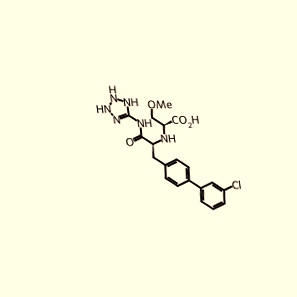 COC[C@H](N[C@@H](Cc1ccc(-c2cccc(Cl)c2)cc1)C(=O)NC1=NNNN1)C(=O)O